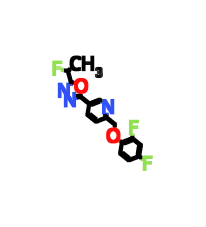 CC(F)c1nnc(-c2ccc(COc3ccc(F)cc3F)nc2)o1